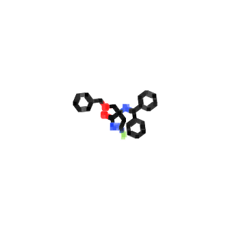 NC(=O)C(CCF)(COCc1ccccc1)N=C(c1ccccc1)c1ccccc1